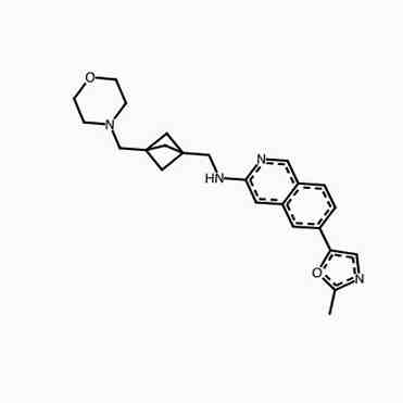 Cc1ncc(-c2ccc3cnc(NCC45CC(CN6CCOCC6)(C4)C5)cc3c2)o1